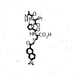 CC(N)C(=O)NC(C(=O)N1CCCC1C(=O)NC(CSCC(=O)c1ccc2cc(N(C)C)ccc2c1)C(=O)O)C(C)C